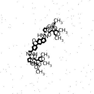 CCOC(=O)N[C@H](C(=O)N1[C@@H](C)CC[C@H]1c1ncc(-c2ccc3c(c2)COc2cc4c(ccc5nc([C@@H]6CC[C@H](C)N6C(=O)[C@@H](NC(=O)OCC)C6C[C@@H](C)O[C@H](C)C6)[nH]c54)cc2-3)[nH]1)C1C[C@@H](C)O[C@H](C)C1